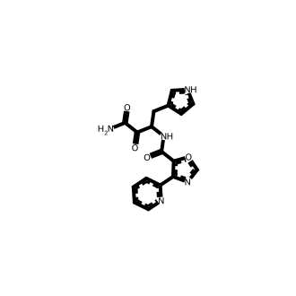 NC(=O)C(=O)C(Cc1cc[nH]c1)NC(=O)c1ocnc1-c1ccccn1